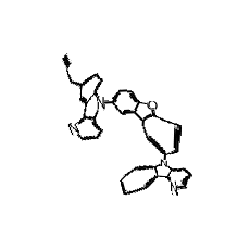 C=CCc1ccc2c(c1)c1ncccc1n2-c1ccc2oc3ccc(-n4c5ccccc5c5ncccc54)cc3c2c1